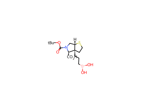 CC(C)(C)OC(=O)N1C[C@@H]2SCC[C@]2(CCCB(O)O)[C@H]1C(=O)O